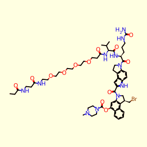 CCC(=O)NCCC(=O)NCCOCCOCCOCCOCCC(=O)N[C@H](C(=O)N[C@@H](CCCNC(N)=O)C(=O)N1CCc2c1ccc1[nH]c(C(=O)N3C[C@@H](CBr)c4c3cc(OC(=O)N3CCN(C)CC3)c3ccccc43)cc21)C(C)C